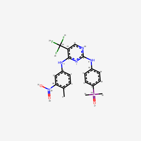 Cc1ccc(Nc2nc(Nc3ccc(P(C)(C)=O)cc3)ncc2C(F)(F)F)cc1[N+](=O)[O-]